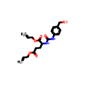 C=CCOC(=O)CCC(NC(=O)Nc1ccc(CO)cc1)C(=O)OCC=C